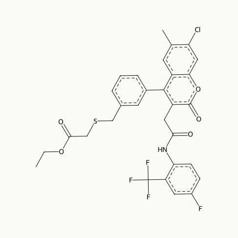 CCOC(=O)CSCc1cccc(-c2c(CC(=O)Nc3ccc(F)cc3C(F)(F)F)c(=O)oc3cc(Cl)c(C)cc23)c1